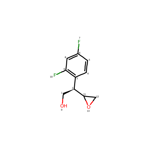 OC[C@@H](c1ccc(F)cc1F)C1CO1